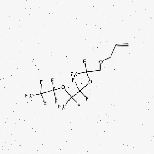 C=CCOCC(F)(OC(F)(F)C(F)(OC(F)(F)C(F)(F)C(F)(F)F)C(F)(F)F)C(F)(F)F